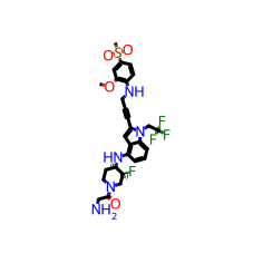 COc1cc(S(C)(=O)=O)ccc1NCC#Cc1cc2c(N[C@@H]3CCN(C(=O)CN)C[C@@H]3F)cccc2n1CC(F)(F)F